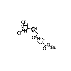 CC(C)(C)OC(=O)N1CCN(C(=O)Cn2cc(-c3cc(C(F)(F)F)nc(Cl)n3)cn2)CC1